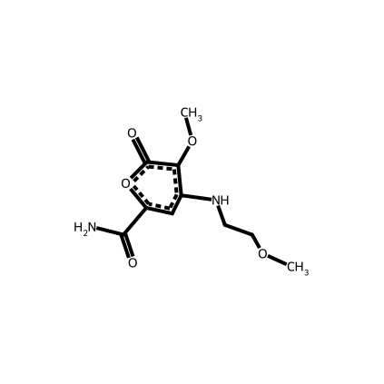 COCCNc1cc(C(N)=O)oc(=O)c1OC